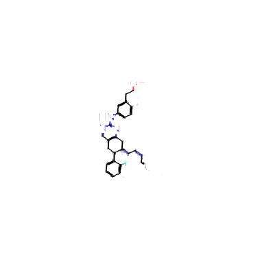 C=C/C=C\C=C1/Cc2nc(Nc3cccc(CCO)c3)ncc2CC1c1ccccc1F